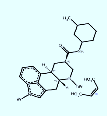 CCCN1C[C@H](C(=O)NC2CCCC(C)C2)C[C@@H]2c3cccc4c3c(cn4C(C)C)C[C@H]21.O=C(O)/C=C\C(=O)O